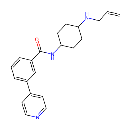 C=CCNC1CCC(NC(=O)c2cccc(-c3ccncc3)c2)CC1